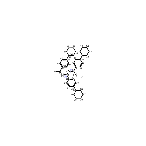 C=C(/N=C(\N=C(/N)c1ccc(C2CCCCC2)cc1)c1ccc(C2CCCCC2)cc1)c1ccc(C2CCCCC2)cc1